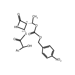 CC(=O)C(O)C(=O)S[C@@H]1NC(=O)[C@@H]1C(C)OC(=O)OCc1ccc([N+](=O)[O-])cc1